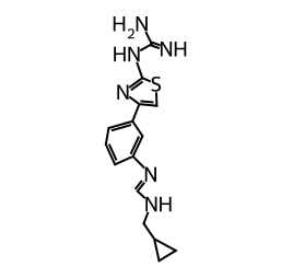 N=C(N)Nc1nc(-c2cccc(/N=C/NCC3CC3)c2)cs1